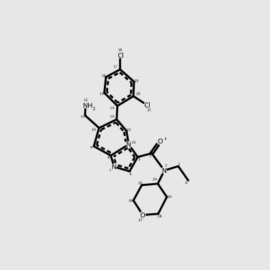 CCN(C(=O)c1cnc2cc(CN)c(-c3ccc(Cl)cc3Cl)cn12)C1CCOCC1